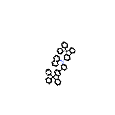 c1ccc(C2(c3ccccc3)c3ccccc3-c3cc(-c4cccc(N(c5ccc6c(c5)C(c5ccccc5)(c5ccccc5)c5ccccc5-6)c5cccc6ccccc56)c4)ccc32)cc1